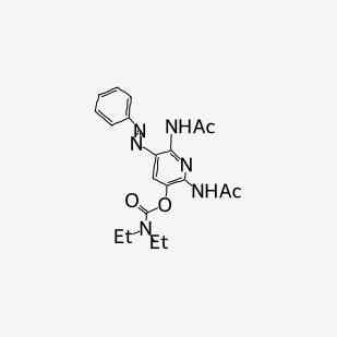 CCN(CC)C(=O)Oc1cc(/N=N/c2ccccc2)c(NC(C)=O)nc1NC(C)=O